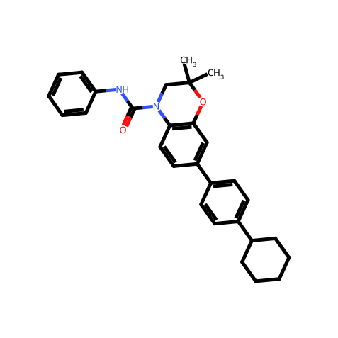 CC1(C)CN(C(=O)Nc2ccccc2)c2ccc(-c3ccc(C4CCCCC4)cc3)cc2O1